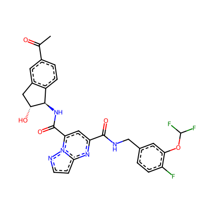 CC(=O)c1ccc2c(c1)C[C@@H](O)[C@@H]2NC(=O)c1cc(C(=O)NCc2ccc(F)c(OC(F)F)c2)nc2ccnn12